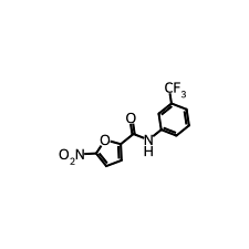 O=C(Nc1cccc(C(F)(F)F)c1)c1ccc([N+](=O)[O-])o1